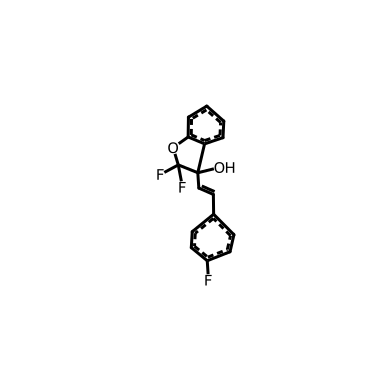 OC1(C=Cc2ccc(F)cc2)c2ccccc2OC1(F)F